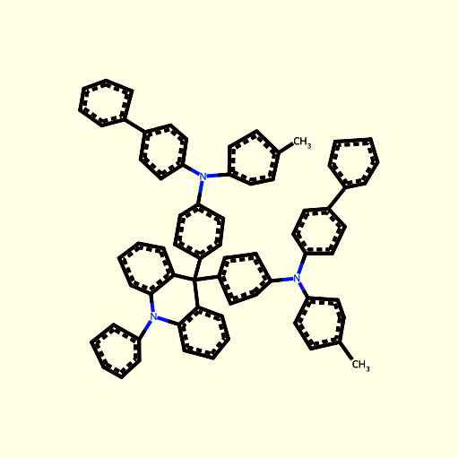 Cc1ccc(N(c2ccc(-c3ccccc3)cc2)c2ccc(C3(c4ccc(N(c5ccc(C)cc5)c5ccc(-c6ccccc6)cc5)cc4)c4ccccc4N(c4ccccc4)c4ccccc43)cc2)cc1